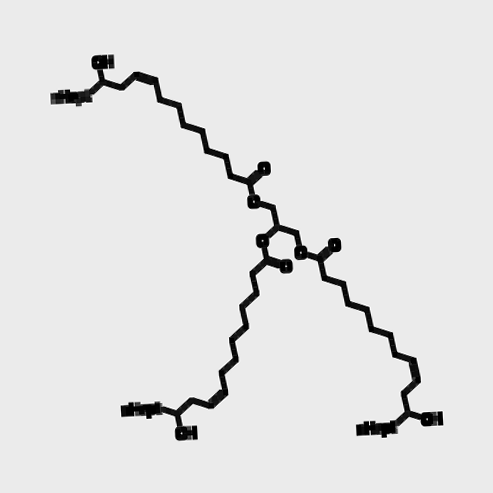 CCCCCCCC(O)C/C=C\CCCCCCCC(=O)OCC(COC(=O)CCCCCCC/C=C\CC(O)CCCCCCC)OC(=O)CCCCCCC/C=C\CC(O)CCCCCCC